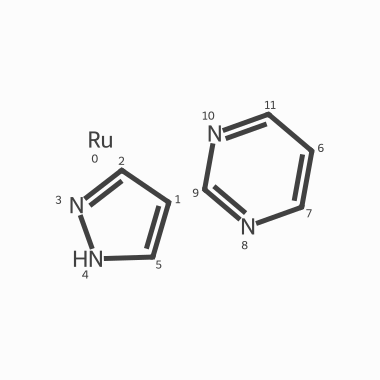 [Ru].c1cn[nH]c1.c1cncnc1